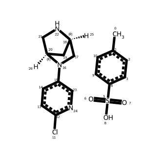 Cc1ccc(S(=O)(=O)O)cc1.Clc1ccc(N2C[C@H]3C[C@@H]2CN3)cn1